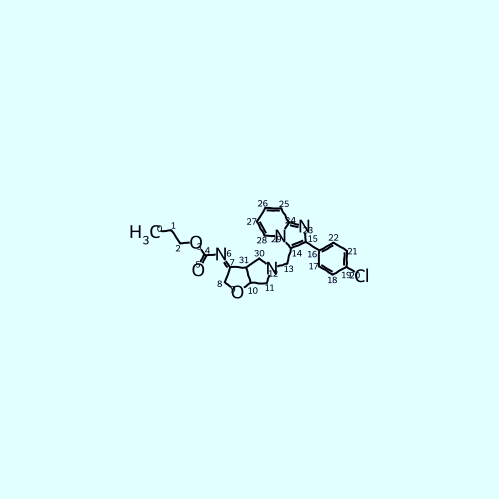 CCCOC(=O)/N=C1\COC2CN(Cc3c(-c4ccc(Cl)cc4)nc4ccccn34)CC12